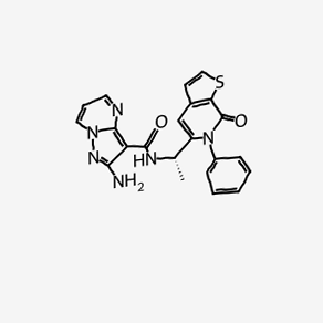 C[C@H](NC(=O)c1c(N)nn2cccnc12)c1cc2ccsc2c(=O)n1-c1ccccc1